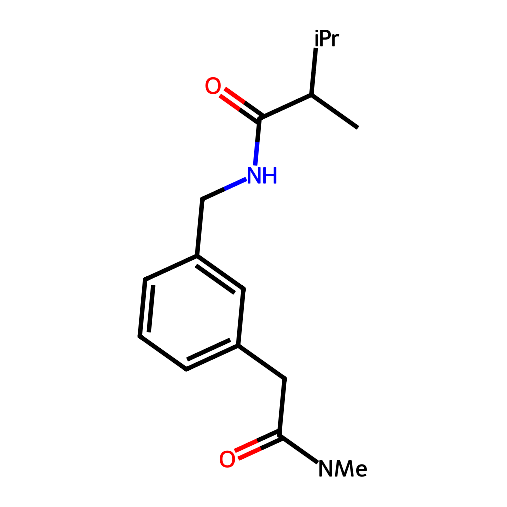 CNC(=O)Cc1cccc(CNC(=O)C(C)C(C)C)c1